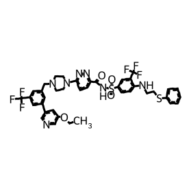 CCOc1cncc(-c2cc(CN3CCN(c4ccc(C(=O)NS(=O)(=O)c5ccc(NCCSc6ccccc6)c(C(F)(F)F)c5)nn4)CC3)cc(C(F)(F)F)c2)c1